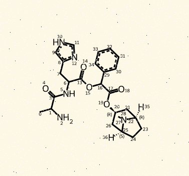 CC(N)C(=O)NC(Cc1c[nH]cn1)C(=O)OC(C(=O)O[C@H]1C[C@H]2CC[C@@H](C1)N2C)c1ccccc1